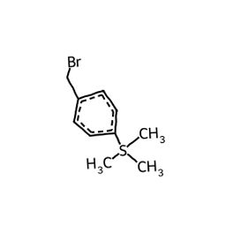 CS(C)(C)c1ccc(CBr)cc1